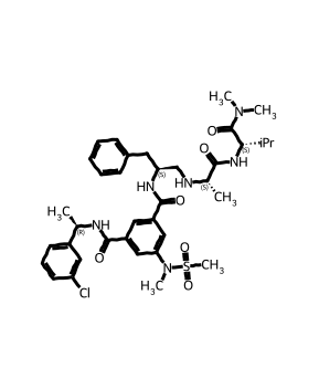 CC(C)[C@H](NC(=O)[C@H](C)NC[C@H](Cc1ccccc1)NC(=O)c1cc(C(=O)N[C@H](C)c2cccc(Cl)c2)cc(N(C)S(C)(=O)=O)c1)C(=O)N(C)C